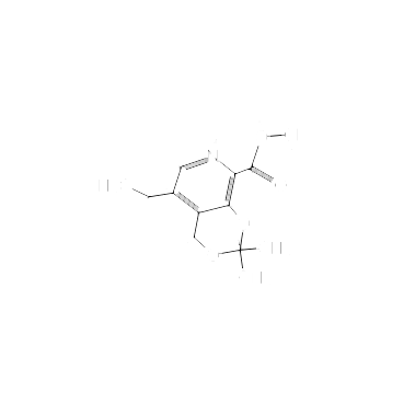 CCc1cnc(C(=O)OC)c2c1COC(C)(C)O2